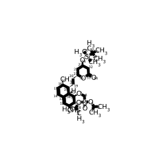 CC(C)OP(=O)(CO[C@H]1C[C@@H](C)C=C2C=C[C@H](C)[C@H](CC[C@@H]3C[C@@H](O[Si](C)(C)C(C)(C)C)CC(=O)O3)[C@H]21)OC(C)C